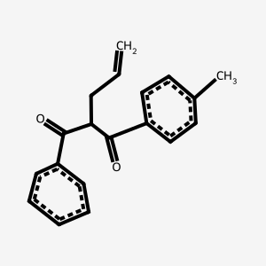 C=CCC(C(=O)c1ccccc1)C(=O)c1ccc(C)cc1